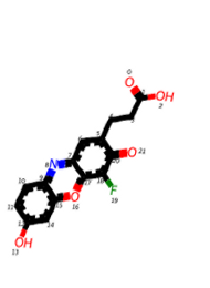 O=C(O)CCc1cc2nc3ccc(O)cc3oc-2c(F)c1=O